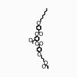 C=CC(=O)OCCCCOc1ccc(C(=O)Oc2ccc(OC(=O)c3ccc(OCCCCCCCC)cc3)cc2C(C)=O)cc1